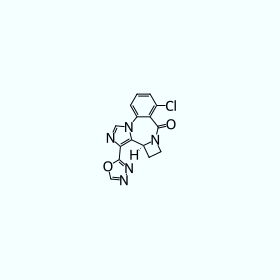 O=C1c2c(Cl)cccc2-n2cnc(-c3nnco3)c2[C@@H]2CCN12